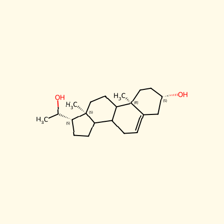 CC(O)[C@H]1CCC2C3CC=C4C[C@@H](O)CC[C@]4(C)C3CC[C@@]21C